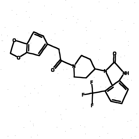 O=C(Cc1ccc2c(c1)OCO2)N1CCC(n2c(=O)[nH]c3cccc(C(F)(F)F)c32)CC1